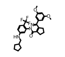 COc1cc(OC)cc(-c2nn(-c3cc(NCC4CCCC4)ccc3C(F)(F)F)c(=O)c3c2CCC3)c1